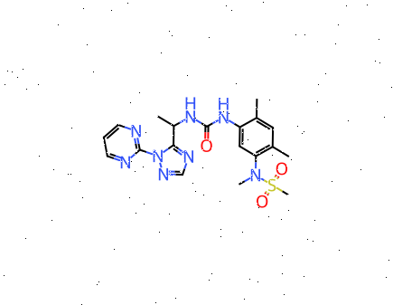 Cc1cc(C)c(N(C)S(C)(=O)=O)cc1NC(=O)NC(C)c1ncnn1-c1ncccn1